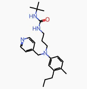 CCCc1cc(N(CCCNC(=O)NC(C)(C)C)Cc2ccncc2)ccc1C